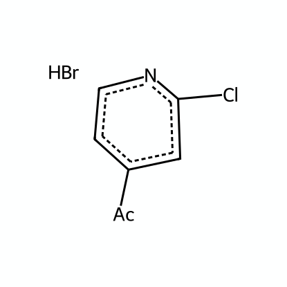 Br.CC(=O)c1ccnc(Cl)c1